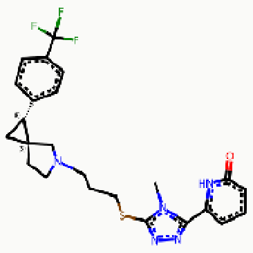 Cn1c(SCCCN2CC[C@]3(C[C@@H]3c3ccc(C(F)(F)F)cc3)C2)nnc1-c1cccc(=O)[nH]1